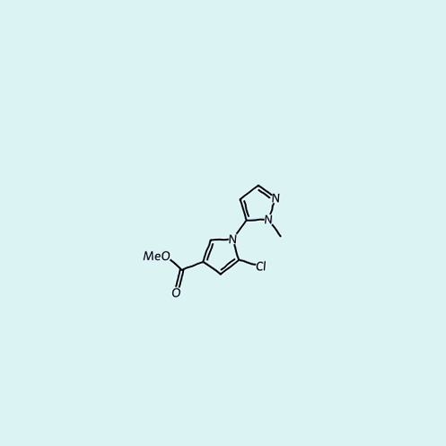 COC(=O)c1cc(Cl)n(-c2ccnn2C)c1